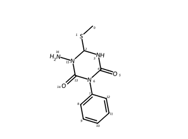 CSC1NC(=O)N(c2ccccc2)C(=O)N1N